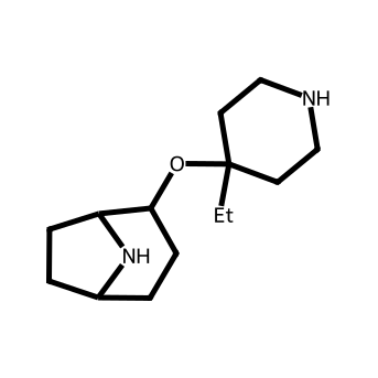 CCC1(OC2CCC3CCC2N3)CCNCC1